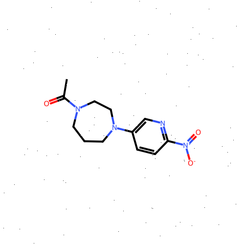 CC(=O)N1CCCN(c2ccc([N+](=O)[O-])nc2)CC1